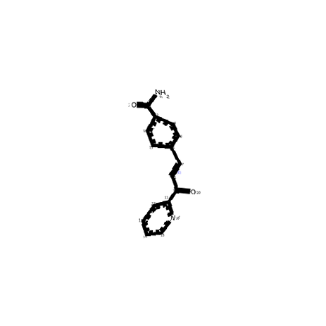 NC(=O)c1ccc(/C=C/C(=O)c2ccccn2)cc1